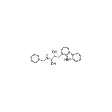 OC(Cc1cccc2c1[nH]c1ccccc12)C(O)NCc1ccccc1